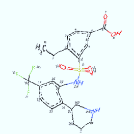 CCc1ccc(C(=O)O)cc1S(=O)(=O)Nc1cc(C(F)(F)F)ccc1C1CCCNC1